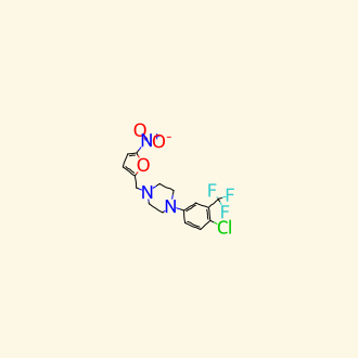 O=[N+]([O-])c1ccc(CN2CCN(c3ccc(Cl)c(C(F)(F)F)c3)CC2)o1